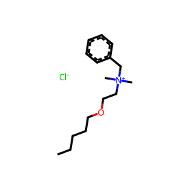 CCCCCOCC[N+](C)(C)Cc1ccccc1.[Cl-]